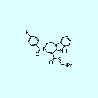 CC(C)CSC(=O)C1=CN(C(=O)c2ccc(F)cc2)CCc2c1[nH]c1ccccc21